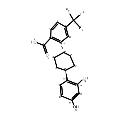 O=C(O)c1ccc(C(F)(F)F)cc1[C@H]1CC[C@H](c2ccc(O)cc2O)CC1